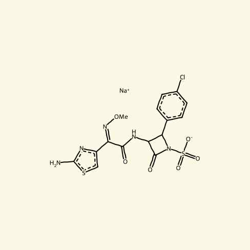 CON=C(C(=O)NC1C(=O)N(S(=O)(=O)[O-])C1c1ccc(Cl)cc1)c1csc(N)n1.[Na+]